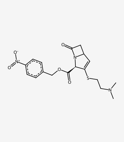 CN(C)CCSC1=CC2CC(=O)N2[C@@H]1C(=O)OCc1ccc([N+](=O)[O-])cc1